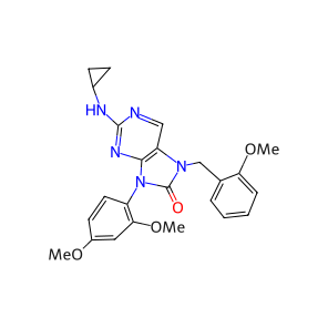 COc1ccc(-n2c(=O)n(Cc3ccccc3OC)c3cnc(NC4CC4)nc32)c(OC)c1